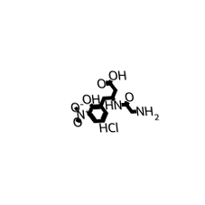 Cl.NCC(=O)NC(CC(=O)O)Cc1cccc([N+](=O)[O-])c1O